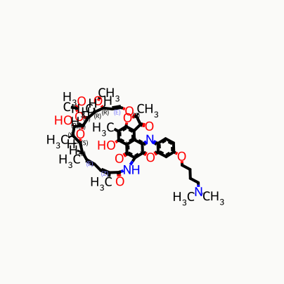 CO[C@H]1/C=C/O[C@@]2(C)Oc3c(C)c(O)c4c(=O)c(c5oc6cc(OCCCCN(C)C)ccc6nc-5c4c3C2=O)NC(=O)/C(C)=C\C=C\[C@H](C)[C@@H]2O[C@H]([C@H](O)[C@@H]2C)[C@H](OC(C)=O)[C@@H]1C